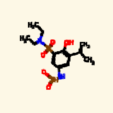 C=C(C)c1cc(N[SH](=O)=O)cc(S(=O)(=O)N(CC)CC)c1O